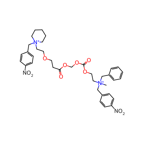 C[N+](CCOC(=O)OCOC(=O)CCOCC[N+]1(Cc2ccc([N+](=O)[O-])cc2)CCCCC1)(Cc1ccccc1)Cc1ccc([N+](=O)[O-])cc1